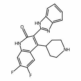 O=c1[nH]c2cc(F)c(F)cc2c(C2CCNCC2)c1-c1nc2ccccc2[nH]1